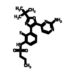 CCCS(=O)(=O)Nc1cccc(-c2nc(C(C)(C)C)oc2-c2ccnc(N)n2)c1F